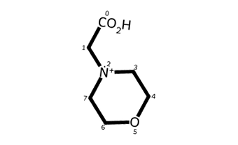 O=C(O)C[N+]1CCOCC1